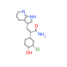 NC(=O)C(=Cc1c[nH]c2ncccc12)c1ccc(O)c(Cl)c1